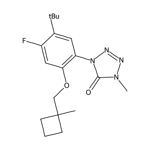 Cn1nnn(-c2cc(C(C)(C)C)c(F)cc2OCC2(C)CCC2)c1=O